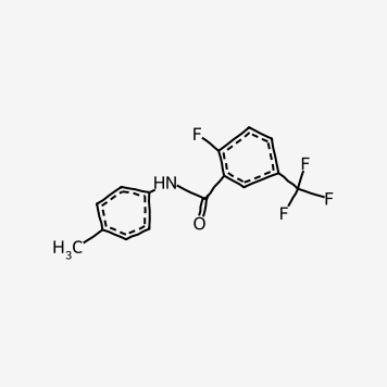 Cc1ccc(NC(=O)c2cc(C(F)(F)F)ccc2F)cc1